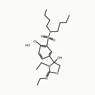 CCCCN(CCCC)S(=O)(=O)c1cc(C2(O)CSC(=NCC)N2CC)ccc1Cl.Cl